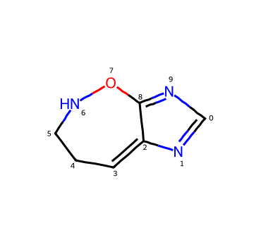 C1=NC2=CCCNOC2=N1